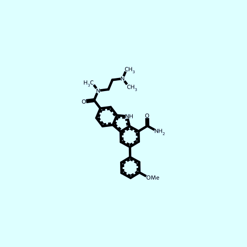 COc1cccc(-c2cc(C(N)=O)c3[nH]c4cc(C(=O)N(C)CCN(C)C)ccc4c3c2)c1